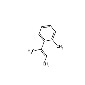 CC=C(C)c1ccccc1C